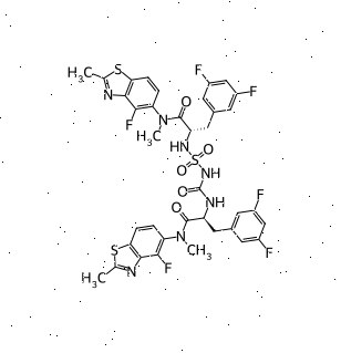 Cc1nc2c(F)c(N(C)C(=O)[C@H](Cc3cc(F)cc(F)c3)NC(=O)NS(=O)(=O)N[C@@H](Cc3cc(F)cc(F)c3)C(=O)N(C)c3ccc4sc(C)nc4c3F)ccc2s1